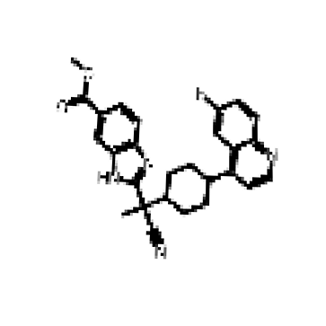 COC(=O)c1ccc2nc(C(C)(C#N)C3CCC(c4ccnc5ccc(F)cc45)CC3)[nH]c2c1